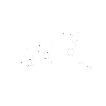 C[C@@H]1C[C@@H](O)c2ncnc(N3CCN(C(=O)[C@@H](CCN4CCC(CN5CCN(C(=O)[C@H](NC(=O)c6cccc(C7CCCN(C(=O)CNC8CC8)C7)c6)C6CCCCC6)CC5)CC4)c4ccc(Cl)cc4)CC3)c21